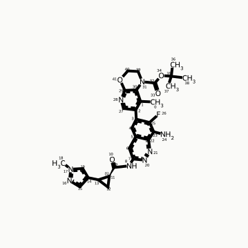 Cc1c(-c2cc3cc(NC(=O)[C@H]4CC4c4cnn(C)c4)nnc3c(N)c2F)cnc2c1N(C(=O)OC(C)(C)C)CCO2